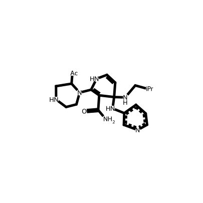 CC(=O)C1CNCCN1C1=C(C(N)=O)C(NCC(C)C)(Nc2cccnc2)C=CN1